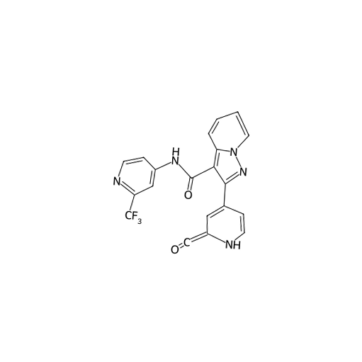 O=C=C1C=C(c2nn3ccccc3c2C(=O)Nc2ccnc(C(F)(F)F)c2)C=CN1